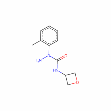 Cc1ccccc1N(N)C(=O)NC1COC1